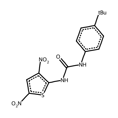 CC(C)(C)c1ccc(NC(=O)Nc2sc([N+](=O)[O-])cc2[N+](=O)[O-])cc1